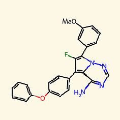 COc1cccc(-c2c(F)c(-c3ccc(Oc4ccccc4)cc3)c3c(N)ncnn23)c1